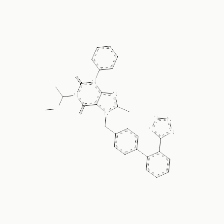 COC(C)n1c(=O)c2c(nc(C)n2Cc2ccc(-c3ccccc3-c3nnn[nH]3)cc2)n(-c2ccccc2)c1=O